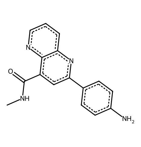 CNC(=O)c1cc(-c2ccc(N)cc2)nc2cccnc12